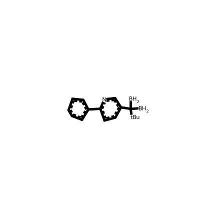 BC(B)(c1ccc(-c2ccccc2)nc1)C(C)(C)C